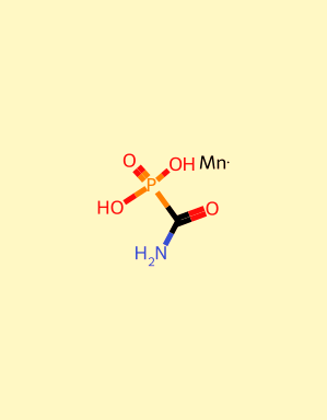 NC(=O)P(=O)(O)O.[Mn]